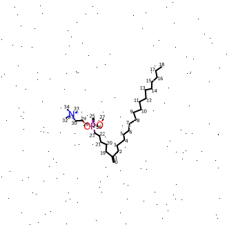 C=C(CCCCCCCCCCCCCCCCC)CCCCCP(=C)(OC)OCC[N+](C)(C)C